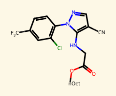 CCCCCCCCOC(=O)CNc1c(C#N)cnn1-c1ccc(C(F)(F)F)cc1Cl